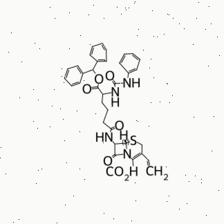 C=CC1=C(C(=O)O)N2C(=O)C(NC(=O)CCCC(NC(=O)Nc3ccccc3)C(=O)OC(c3ccccc3)c3ccccc3)[C@@H]2SC1